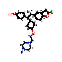 CCC(=C(c1ccc(O)cc1)c1ccc(OCCN2CCN(C)CC2)cc1)c1ccc2oc(Cl)cc2c1